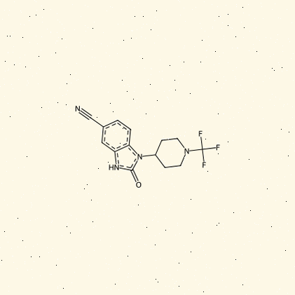 N#Cc1ccc2c(c1)[nH]c(=O)n2C1CCN(C(F)(F)F)CC1